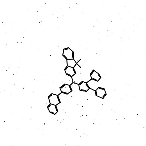 CC1(C)c2ccccc2-c2ccc(N(c3ccc(-c4ccc5ccccc5c4)cc3)c3ccc(-c4ccccc4)c(-c4ccccc4)c3)cc21